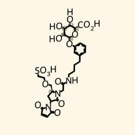 O=C(CN1C(=O)C(N2C(=O)C=CC2=O)C[C@H]1COCCS(=O)(=O)O)NCCCCc1cccc(O[C@@H]2O[C@H](C(=O)O)[C@@H](O)[C@H](O)[C@H]2O)c1